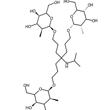 CC(C)NC(CCCO[C@@H]1OC(CO)[C@H](O)C(O)[C@@H]1C)(CCCO[C@@H]1OC(CO)[C@H](O)C(O)[C@@H]1C)CCCO[C@@H]1OC(CO)[C@H](O)C(O)[C@@H]1C